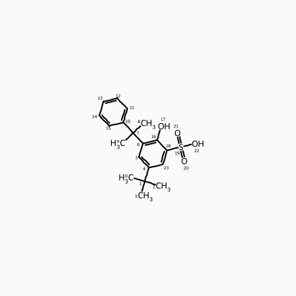 CC(C)(C)c1cc(C(C)(C)c2ccccc2)c(O)c(S(=O)(=O)O)c1